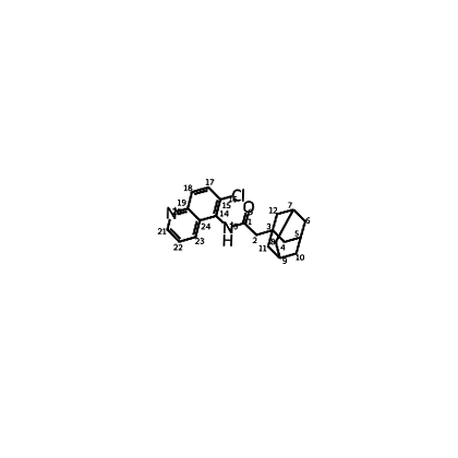 O=C(CC12CC3CC(CC(C3)C1)C2)Nc1c(Cl)ccc2ncccc12